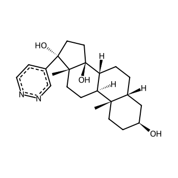 C[C@]12CC[C@H](O)C[C@H]1CC[C@@H]1[C@@H]2CC[C@]2(C)[C@@](O)(c3ccnnc3)CC[C@]12O